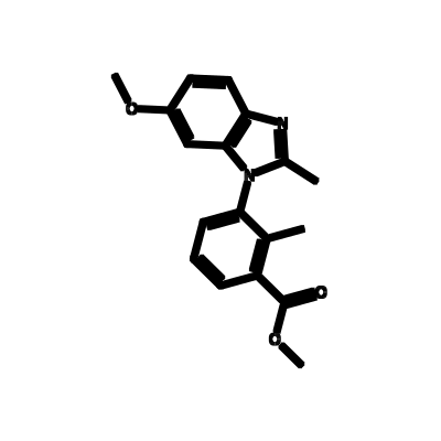 COC(=O)c1cccc(-n2c(C)nc3ccc(OC)cc32)c1C